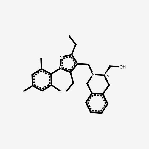 CCc1nn(-c2c(C)cc(C)cc2C)c(CC)c1CN1Cc2ccccc2C[C@@H]1CO